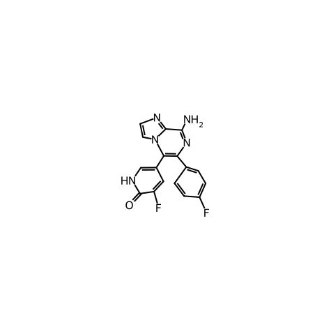 Nc1nc(-c2ccc(F)cc2)c(-c2c[nH]c(=O)c(F)c2)n2ccnc12